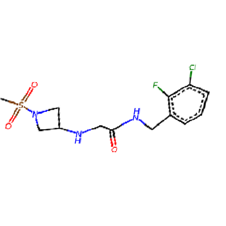 CS(=O)(=O)N1CC(NCC(=O)NCc2cccc(Cl)c2F)C1